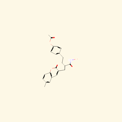 CC(=O)Oc1ccc(CCC(Cc2cc3cc(C)ccc3oc2=O)C(=O)NO)cc1